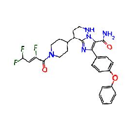 NC(=O)c1c(-c2ccc(Oc3ccccc3)cc2)nc2n1NCCC2C1CCN(C(=O)C(F)=CC(F)F)CC1